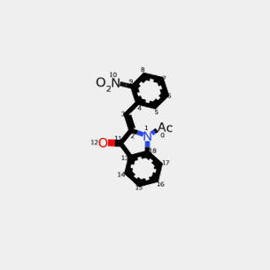 CC(=O)N1C(=Cc2ccccc2[N+](=O)[O-])C(=O)c2ccccc21